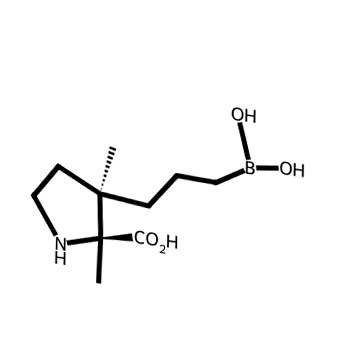 C[C@@]1(CCCB(O)O)CCN[C@]1(C)C(=O)O